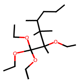 CCCC(C)C(C)(C)C(C)(OCC)C(OCC)(OCC)OCC